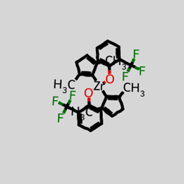 CC1=CCC(C)=[C]1[Zr]([O]c1ccccc1C(F)(F)F)([O]c1ccccc1C(F)(F)F)[C]1=C(C)CC=C1C